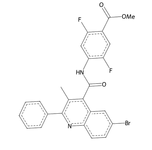 COC(=O)c1cc(F)c(NC(=O)c2c(C)c(-c3ccccc3)nc3ccc(Br)cc23)cc1F